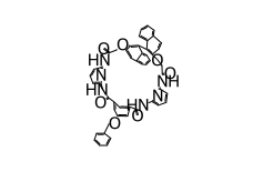 O=C1COc2ccc3ccccc3c2-c2c(ccc3ccccc23)OCC(=O)Nc2cccc(n2)NC(=O)c2cc(OCc3ccccc3)cc(c2)C(=O)Nc2cccc(n2)N1